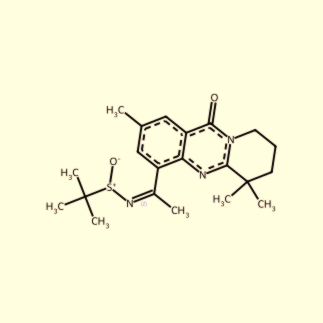 C/C(=N/[S+]([O-])C(C)(C)C)c1cc(C)cc2c(=O)n3c(nc12)C(C)(C)CCC3